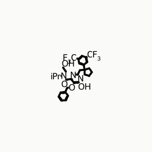 CC(C)N(CCO)C(=O)c1nc(CC2(c3cc(C(F)(F)F)cc(C(F)(F)F)c3)CCCC2)nc(O)c1OCc1ccccc1